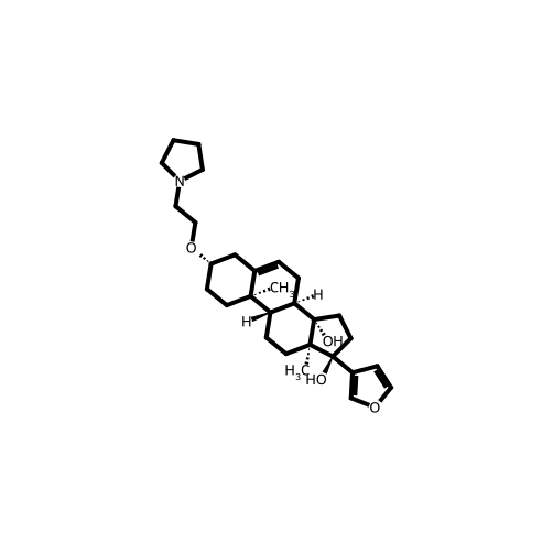 C[C@]12CC[C@H]3[C@@H](CC=C4C[C@@H](OCCN5CCCC5)CC[C@@]43C)[C@@]1(O)CC[C@]2(O)c1ccoc1